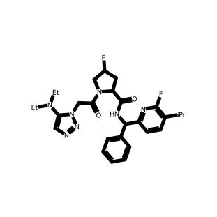 CCN(CC)c1cnnn1CC(=O)N1CC(F)CC1C(=O)NC(c1ccccc1)c1ccc(C(C)C)c(F)n1